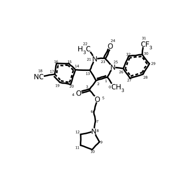 CC1=C(C(=O)OCCN2CCCC2)C(c2ccc(C#N)cc2)N(C)C(=O)N1c1cccc(C(F)(F)F)c1